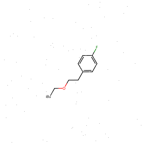 CCC(C)COCCc1ccc(F)cc1